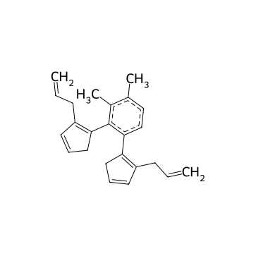 C=CCC1=C(c2ccc(C)c(C)c2C2=C(CC=C)C=CC2)CC=C1